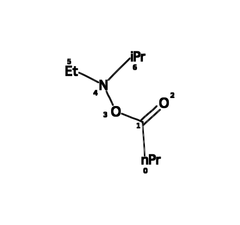 CCCC(=O)ON(CC)C(C)C